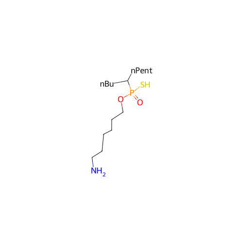 CCCCCC(CCCC)P(=O)(S)OCCCCCCN